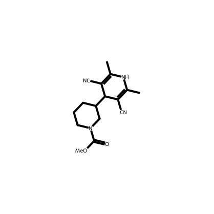 COC(=O)N1CCCC(C2C(C#N)=C(C)NC(C)=C2C#N)C1